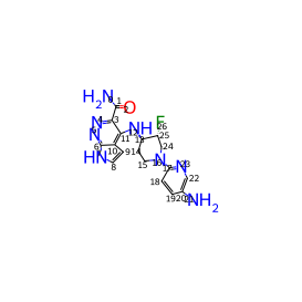 NC(=O)c1nnc2[nH]ccc2c1N[C@@H]1CCN(c2ccc(N)cn2)C[C@H]1F